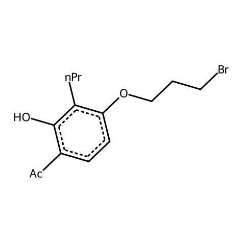 CCCc1c(OCCCBr)ccc(C(C)=O)c1O